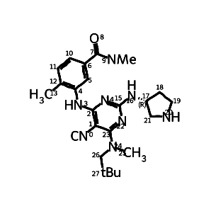 [C-]#[N+]c1c(Nc2cc(C(=O)NC)ccc2C)nc(N[C@@H]2CCNC2)nc1N(C)CC(C)(C)C